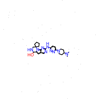 CN(C)C1CCN(c2ccc(Nc3ncc4cc5n(c4n3)C3(CCCC3)CNC5O)nn2)CC1